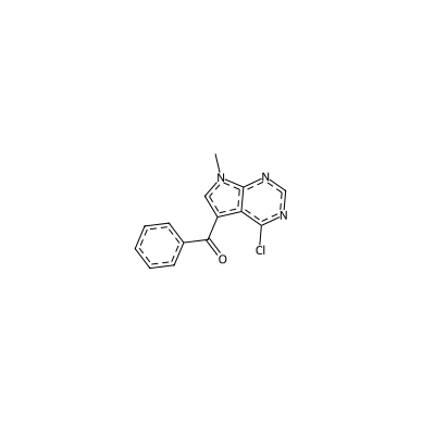 Cn1cc(C(=O)c2ccccc2)c2c(Cl)ncnc21